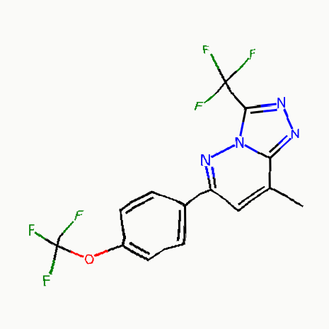 Cc1cc(-c2ccc(OC(F)(F)F)cc2)nn2c(C(F)(F)F)nnc12